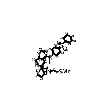 CSCCNCC1(c2cc3c(Nc4ccc(S(=O)(=O)c5ccccc5)cc4)ncnc3cn2)CC=CO1